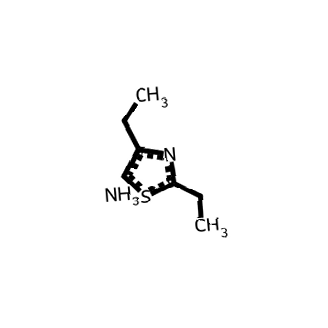 CCc1csc(CC)n1.N